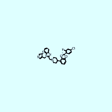 CCn1cncc1Cn1c(CN2CCC(c3cccc4c3O[C@@](C)(c3ccc(Cl)cc3F)O4)CC2)nc2ccccc21